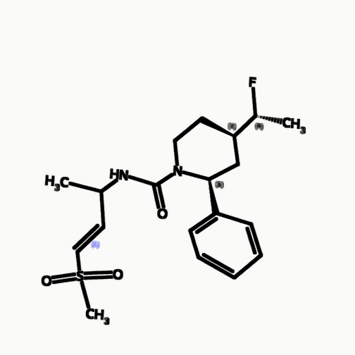 CC(/C=C/S(C)(=O)=O)NC(=O)N1CC[C@@H]([C@@H](C)F)C[C@H]1c1ccccc1